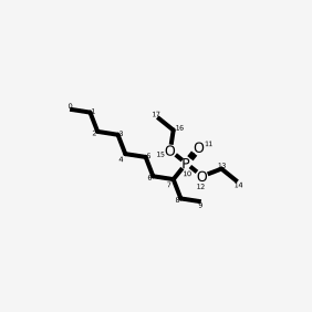 CCCCCCCC(CC)P(=O)(OCC)OCC